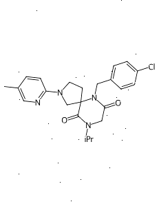 Cc1ccc(N2CCC3(C2)C(=O)N(C(C)C)CC(=O)N3Cc2ccc(Cl)cc2)nc1